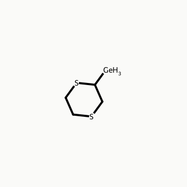 [GeH3][CH]1CSCCS1